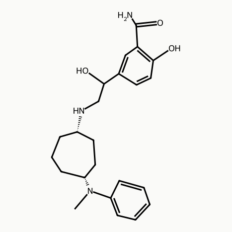 CN(c1ccccc1)[C@@H]1CCC[C@H](NCC(O)c2ccc(O)c(C(N)=O)c2)CC1